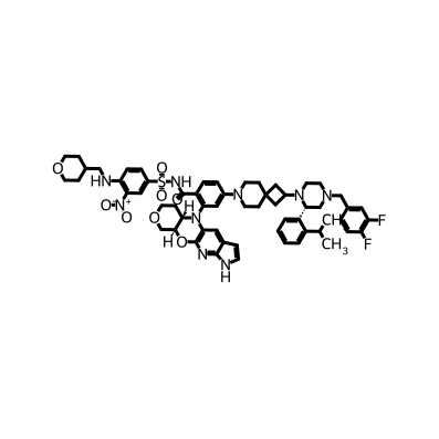 CC(C)c1ccccc1[C@H]1CN(Cc2ccc(F)c(F)c2)CCN1C1CC2(CCN(c3ccc(C(=O)NS(=O)(=O)c4ccc(NCC5CCOCC5)c([N+](=O)[O-])c4)c(N4c5cc6cc[nH]c6nc5O[C@H]5COCC[C@@H]54)c3)CC2)C1